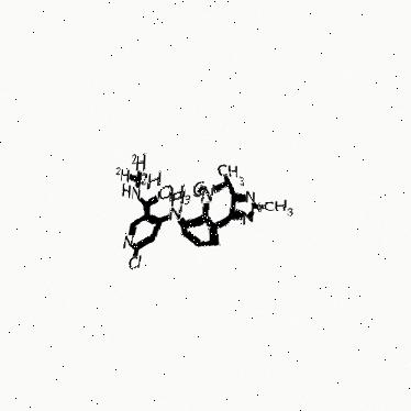 [2H]C([2H])([2H])NC(=O)c1cnc(Cl)cc1Nc1cccc2c1N(C)C(C)c1nn(C)nc1-2